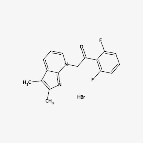 Br.Cc1nc2n(CC(=O)c3c(F)cccc3F)cccc-2c1C